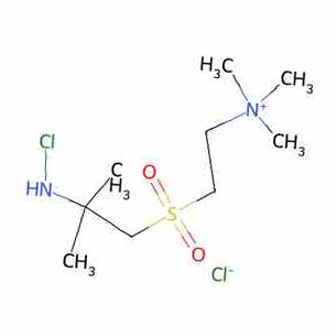 CC(C)(CS(=O)(=O)CC[N+](C)(C)C)NCl.[Cl-]